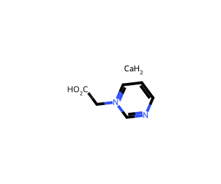 O=C(O)C[n+]1cccnc1.[CaH2]